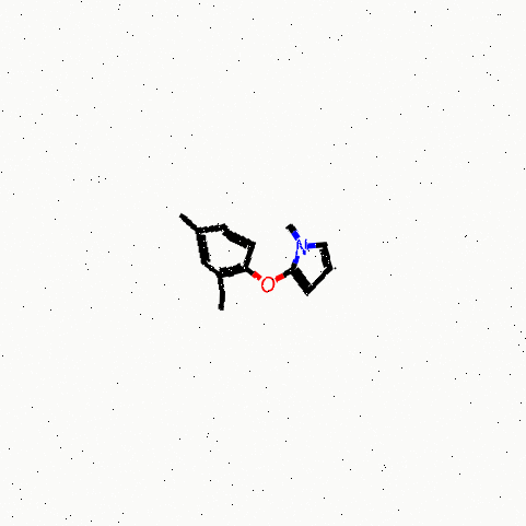 Cc1ccc(Oc2c[c]cn2C)c(C)c1